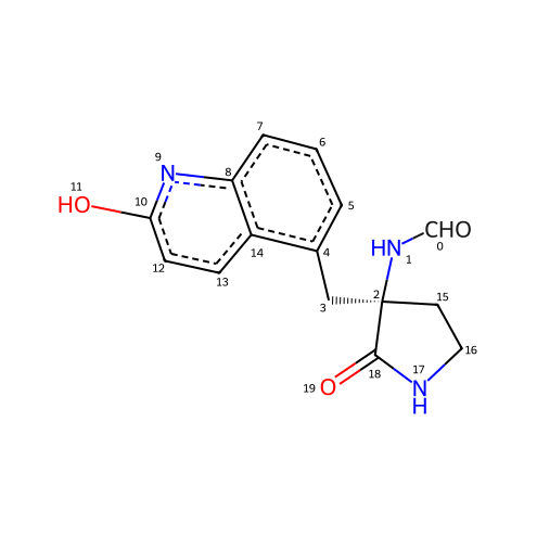 O=CN[C@@]1(Cc2cccc3nc(O)ccc23)CCNC1=O